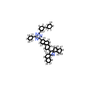 c1ccc(-c2cccc(-c3nc(-c4ccccc4)nc(-c4ccc5c(ccc6cc(-c7c8ccc9ccccc9c8nc8c7ccc7ccccc78)ccc65)c4)n3)c2)cc1